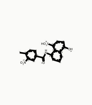 Cc1ccc(C(=O)Nc2cccc3c(O)ccc(S(=O)(=O)O)c23)cc1[N+](=O)[O-]